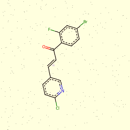 O=C(/C=C/c1ccc(Cl)nc1)c1ccc(Br)cc1F